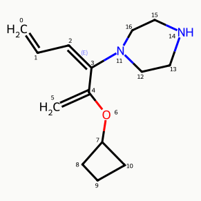 C=C/C=C(\C(=C)OC1CCC1)N1CCNCC1